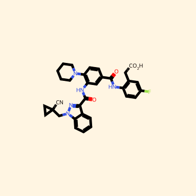 N#CC1(Cn2nc(C(=O)Nc3cc(C(=O)Nc4ccc(F)cc4CC(=O)O)ccc3N3CCCCC3)c3ccccc32)CC1